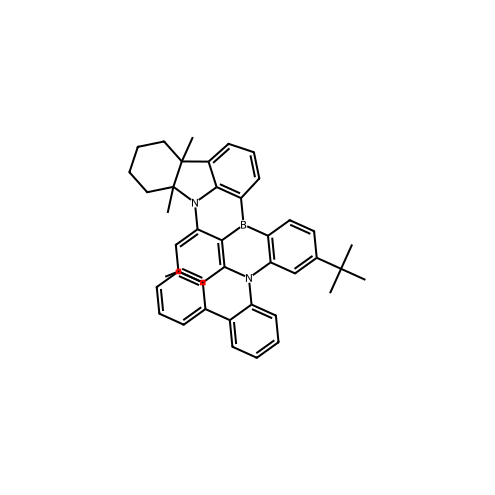 Cc1cc2c3c(c1)N1c4c(cccc4C4(C)CCCCC14C)B3c1ccc(C(C)(C)C)cc1N2c1ccccc1-c1ccccc1